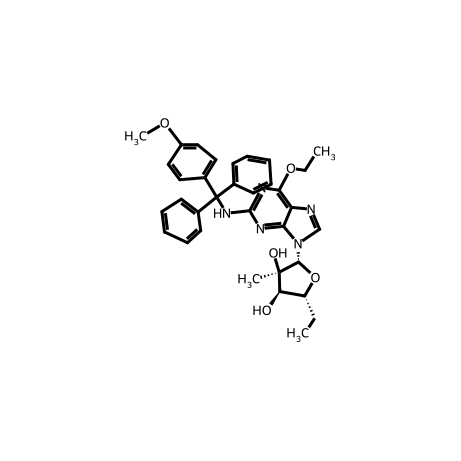 CCOc1nc(NC(c2ccccc2)(c2ccccc2)c2ccc(OC)cc2)nc2c1ncn2[C@@H]1O[C@H](CC)[C@@H](O)[C@@]1(C)O